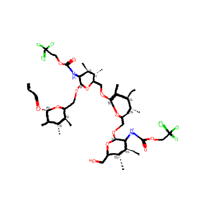 C=CCO[C@@H]1OC(CO[C@@H]2OC(CO[C@@H]3OC(CO[C@@H]4OC(CO)[C@@H](C)[C@H](C)C4NC(=O)OCC(Cl)(Cl)Cl)[C@@H](C)[C@H](C)C3C)[C@@H](C)[C@H](C)C2NC(=O)OCC(Cl)(Cl)Cl)[C@@H](C)[C@H](C)C1C